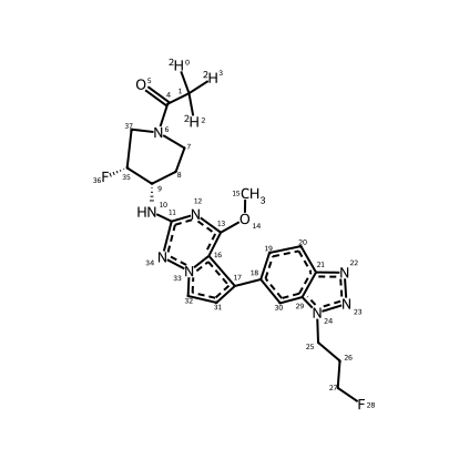 [2H]C([2H])([2H])C(=O)N1CC[C@H](Nc2nc(OC)c3c(-c4ccc5nnn(CCCF)c5c4)ccn3n2)[C@H](F)C1